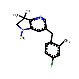 Cc1cc(F)ccc1Cc1cnc2c(c1)N(C)CC2(C)C